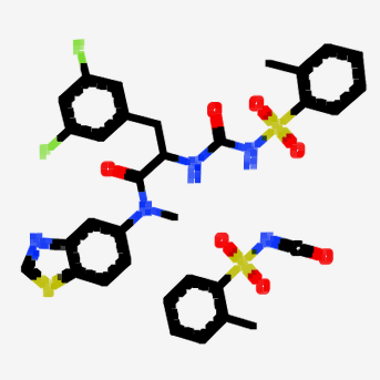 Cc1ccccc1S(=O)(=O)N=C=O.Cc1ccccc1S(=O)(=O)NC(=O)NC(Cc1cc(F)cc(F)c1)C(=O)N(C)c1ccc2scnc2c1